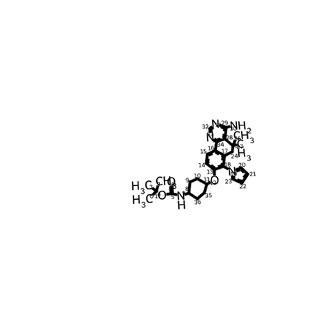 CC(C)(C)OC(=O)NC1CCC(Oc2ccc3c(c2-n2cccc2)CC(C)(C)c2c(N)ncnc2-3)CC1